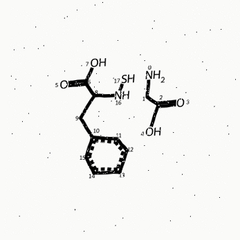 NCC(=O)O.O=C(O)C(Cc1ccccc1)NS